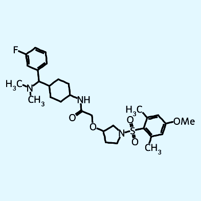 COc1cc(C)c(S(=O)(=O)N2CCC(OCC(=O)NC3CCC(C(c4cccc(F)c4)N(C)C)CC3)C2)c(C)c1